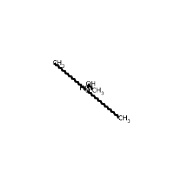 CCCC(O)O.CCCCCCCCCCCCCCCCCCCCOCCCCCCCCCCCCCCCCCCCC